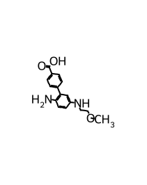 COCCNc1ccc(N)c(-c2ccc(C(=O)O)cc2)c1